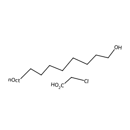 CCCCCCCCCCCCCCCCO.O=C(O)CCl